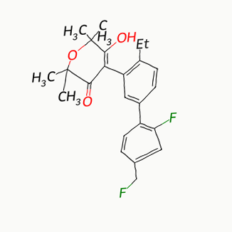 CCc1ccc(-c2ccc(CF)cc2F)cc1C1=C(O)C(C)(C)OC(C)(C)C1=O